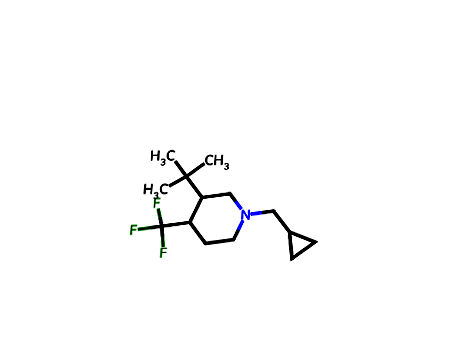 CC(C)(C)C1CN(CC2CC2)CCC1C(F)(F)F